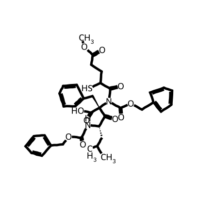 COC(=O)CCC(S)C(=O)N(C(=O)OCc1ccccc1)[C@@](Cc1ccccc1)(C(=O)O)C(=O)[C@H](CC(C)C)NC(=O)OCc1ccccc1